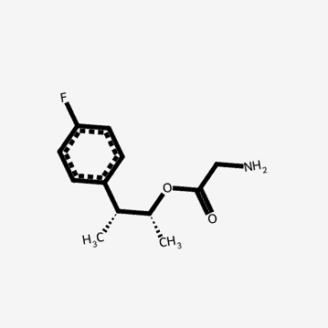 C[C@H](c1ccc(F)cc1)[C@@H](C)OC(=O)CN